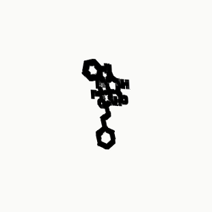 O=C(CCC1CCCCC1)NC1(C(F)(F)F)C(=O)Nc2nc3ccccc3n21